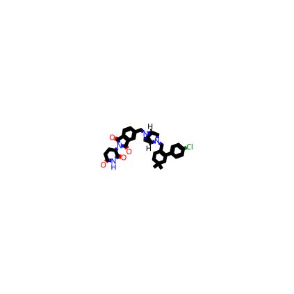 CC1(C)CCC(CN2C[C@@H]3C[C@H]2CN3Cc2ccc3c(c2)C(=O)N(C2CCC(=O)NC2=O)C3=O)=C(c2ccc(Cl)cc2)C1